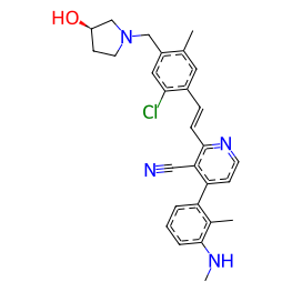 CNc1cccc(-c2ccnc(/C=C/c3cc(C)c(CN4CC[C@@H](O)C4)cc3Cl)c2C#N)c1C